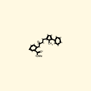 COC(=O)c1ccccc1CC(=O)CCC1=CC=C(c2ccccc2)C1C